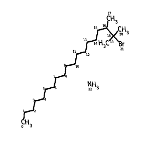 CCCCCCCCCCCCCCCCC(C)C(C)(C)Br.N